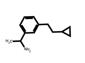 CC(N)c1cccc(CCC2CC2)c1